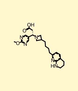 COc1ncc([C@H](CC(=O)O)N2CC(CCCCc3ccc4c(n3)NCCC4)C2)cn1